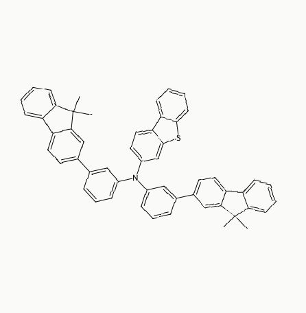 CC1(C)c2ccccc2-c2ccc(-c3cccc(N(c4cccc(-c5ccc6c(c5)C(C)(C)c5ccccc5-6)c4)c4ccc5c(c4)sc4ccccc45)c3)cc21